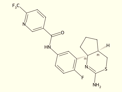 NC1=N[C@@]2(c3cc(NC(=O)c4ccc(C(F)(F)F)nc4)ccc3F)CCC[C@H]2CS1